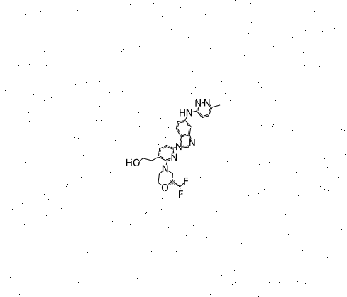 Cc1ccc(Nc2ccc3c(c2)ncn3-c2ccc(CCO)c(N3CCO[C@H](C(F)F)C3)n2)nn1